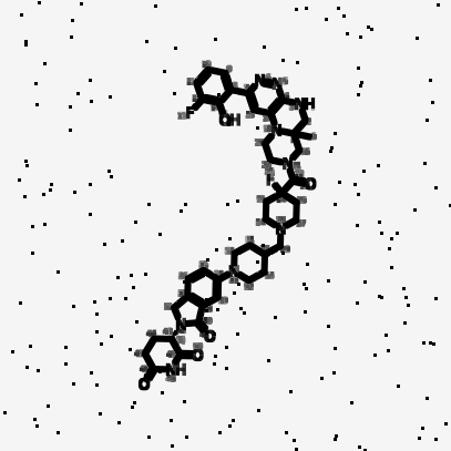 CC12CNc3nnc(-c4cccc(F)c4O)cc3N1CCN(C(=O)C1(F)CCN(CC3CCN(c4ccc5c(c4)C(=O)N([C@H]4CCC(=O)NC4=O)C5)CC3)CC1)C2